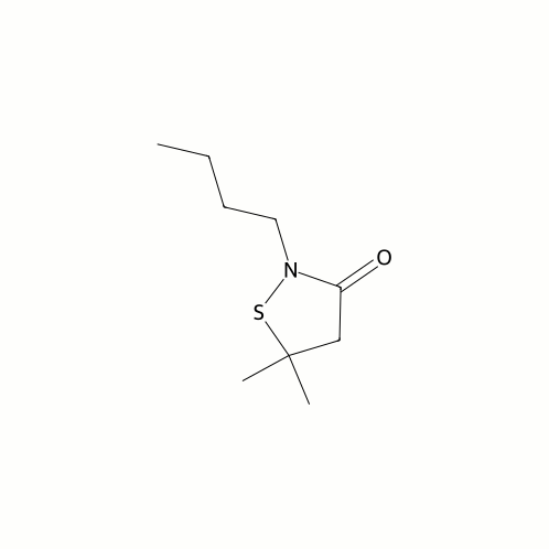 CCCCN1SC(C)(C)CC1=O